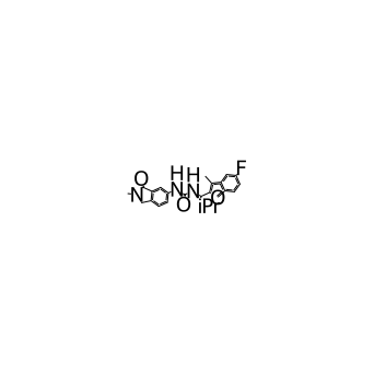 Cc1c([C@H](NC(=O)Nc2ccc3c(c2)C(=O)N(C)C3)C(C)C)oc2ccc(F)cc12